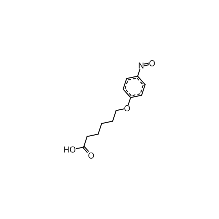 O=Nc1ccc(OCCCCCC(=O)O)cc1